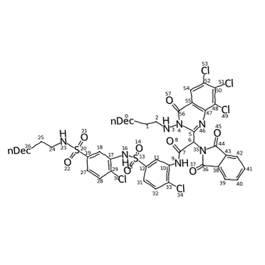 CCCCCCCCCCCCNn1c(C(C(=O)Nc2cc(S(=O)(=O)Nc3cc(S(=O)(=O)NCCCCCCCCCCCC)ccc3Cl)ccc2Cl)N2C(=O)c3ccccc3C2=O)nc2c(Cl)c(Cl)c(Cl)cc2c1=O